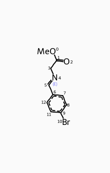 COC(=O)C/N=C/c1ccc(Br)cc1